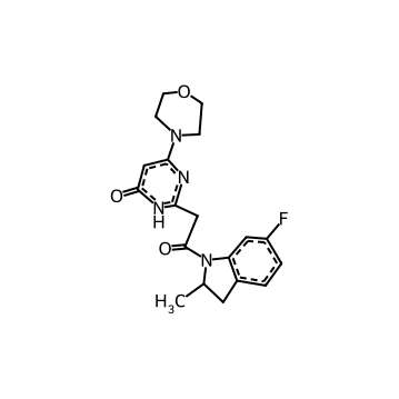 CC1Cc2ccc(F)cc2N1C(=O)Cc1nc(N2CCOCC2)cc(=O)[nH]1